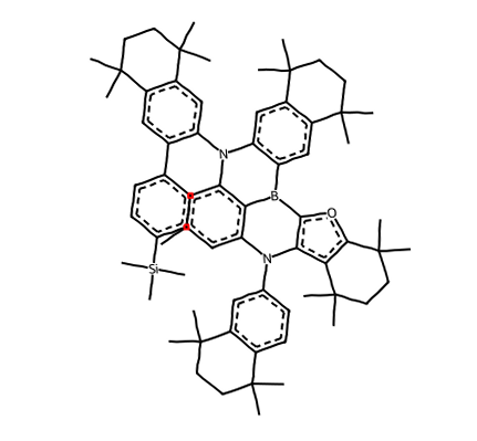 Cc1cc2c3c(c1)N(c1ccc4c(c1)C(C)(C)CCC4(C)C)c1c(oc4c1C(C)(C)CCC4(C)C)B3c1cc3c(cc1N2c1cc2c(cc1-c1ccc([Si](C)(C)C)cc1)C(C)(C)CCC2(C)C)C(C)(C)CCC3(C)C